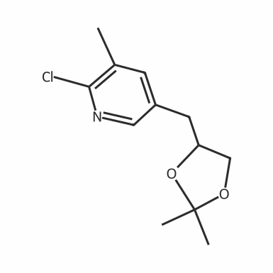 Cc1cc(CC2COC(C)(C)O2)cnc1Cl